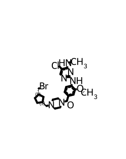 CNc1nc(Nc2ccc(C(=O)N3CCN(C[C@H]4CC[C@H](CBr)C4)CC3)cc2OC)ncc1Cl